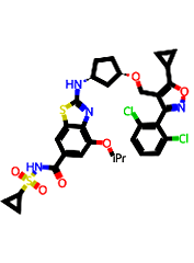 CC(C)Oc1cc(C(=O)NS(=O)(=O)C2CC2)cc2sc(N[C@@H]3CC[C@H](OCc4c(-c5c(Cl)cccc5Cl)noc4C4CC4)C3)nc12